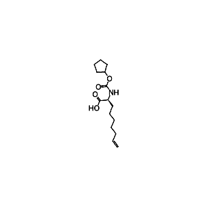 C=CCCCCC[C@H](NC(=O)OC1CCCC1)C(=O)O